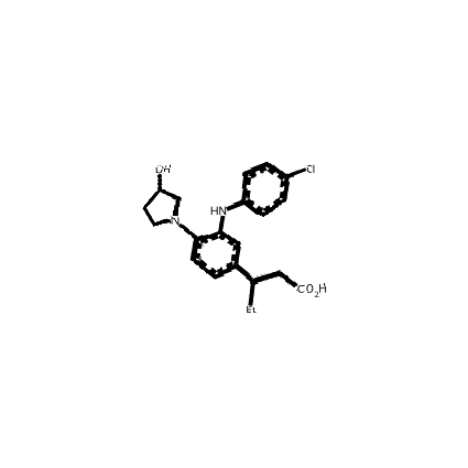 CCC(CC(=O)O)c1ccc(N2CCC(O)C2)c(Nc2ccc(Cl)cc2)c1